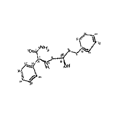 NC(=O)[C@@H](NC[C@H](O)[CH]Cc1ccccc1)c1ccccc1